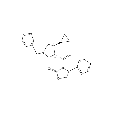 O=C1OCC(c2ccccc2)N1C(=O)[C@@H]1CN(Cc2ccccc2)C[C@H]1C1CC1